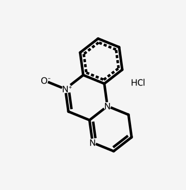 Cl.[O-][N+]1=CC2=NC=CCN2c2ccccc21